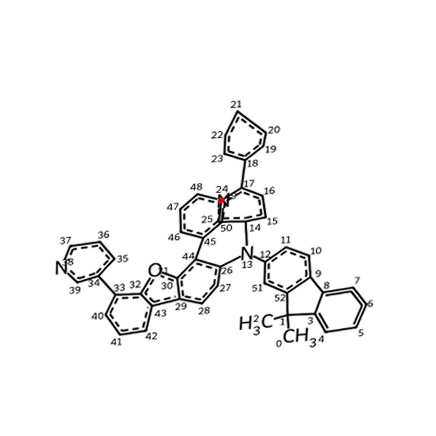 CC1(C)C2=CC=C=C=C2c2ccc(N(c3ccc(-c4ccccc4)cc3)c3ccc4c(oc5c(-c6cccnc6)cccc54)c3-c3cccnc3)cc21